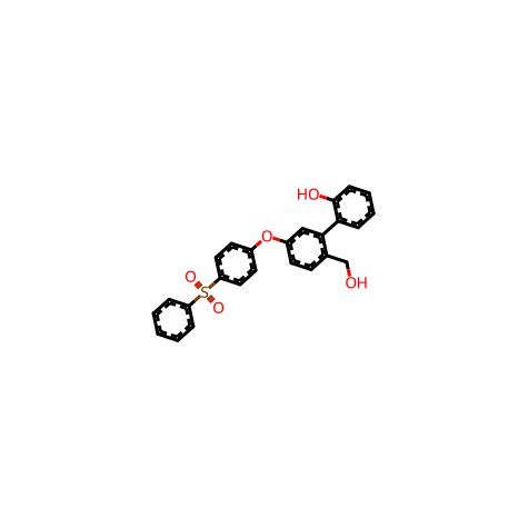 O=S(=O)(c1ccccc1)c1ccc(Oc2ccc(CO)c(-c3ccccc3O)c2)cc1